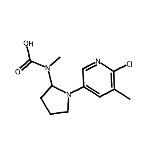 Cc1cc(N2CCCC2N(C)C(=O)O)cnc1Cl